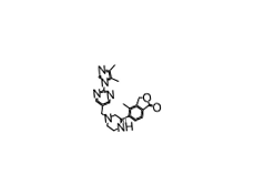 Cc1ncn(-c2ncc(CN3CCN[C@H](c4ccc5c(c4C)COC5=O)C3)cn2)c1C